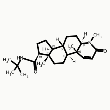 CN1C(=O)C=C[C@]2(C)[C@H]3CC[C@]4(C)[C@@H](C(=O)NC(C)(C)C)CC[C@H]4[C@@H]3CC[C@@H]12